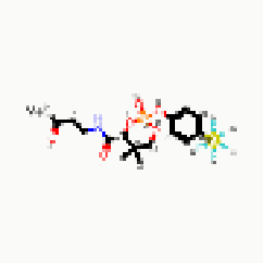 COC(=O)CCNC(=O)[C@@H]1O[P@@](=O)(Oc2ccc(S(F)(F)(F)(F)F)cc2)OCC1(C)C